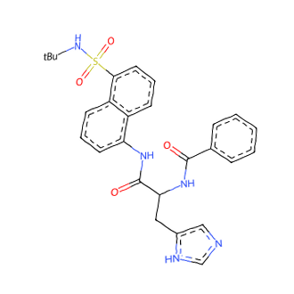 CC(C)(C)NS(=O)(=O)c1cccc2c(NC(=O)C(Cc3cnc[nH]3)NC(=O)c3ccccc3)cccc12